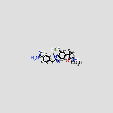 Cl.Cn1c(Cc2ccc(C(=N)N)cc2)nc2cc(C3(C(=O)[N+](C)(C)C(=O)O)CC3)ccc21